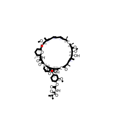 CO[C@H]1C[C@@H]2CC[C@@H](C)[C@@](O)(O2)C(=O)C(=O)N2CCCC3[C@H]2C(=O)O[C@@H](CC(=O)[C@H](C)/C=C(\C)[C@@H](O)[C@@H](OC)C(=O)[C@H](C)C[C@H](C)/C=C/C=C/C=C/1C)[C@H]3C[C@@H]1CC[C@@H](OC(=O)NS(=O)(=O)N(C)C)[C@H](OC)C1